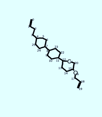 C=CCCC1CCC(C2CCC(C3CCC(OCC=C)CC3)CC2)CC1